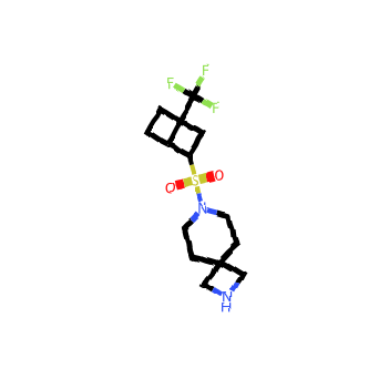 O=S(=O)(C1CC2(C(F)(F)F)CCC12)N1CCC2(CC1)CNC2